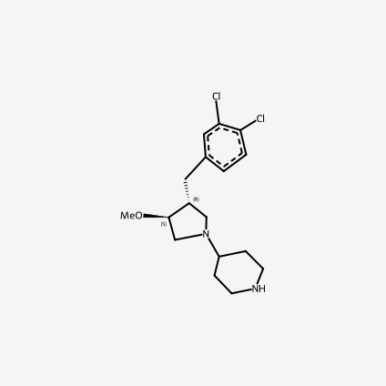 CO[C@@H]1CN(C2CCNCC2)C[C@H]1Cc1ccc(Cl)c(Cl)c1